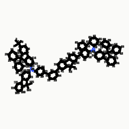 CC(C)(C)c1ccc2c(c1)C(c1ccccc1)(c1ccccc1)c1cc(N(c3ccc(-c4cccc(-c5ccc6c(c5)C(C)(C)c5cc(-c7ccc(N(c8ccc9c(c8)C(c8ccccc8)(c8ccccc8)c8ccccc8-9)c8ccccc8-c8ccccc8)cc7)ccc5-6)c4)cc3)c3ccc4c(c3)C(C)(C)c3ccccc3-4)ccc1-2